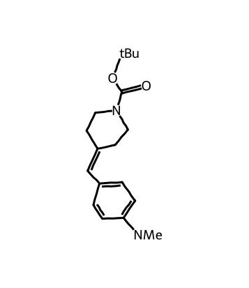 CNc1ccc(C=C2CCN(C(=O)OC(C)(C)C)CC2)cc1